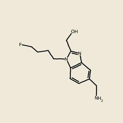 NCc1ccc2c(c1)nc(CO)n2CCCCF